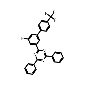 Fc1cc(-c2ccc(C(F)(F)F)cc2)cc(-c2nc(-c3ccccc3)nc(-c3ccccc3)n2)c1